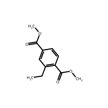 CCc1cc(C(=O)OC)ccc1C(=O)OC